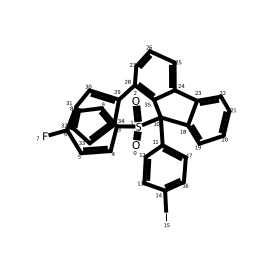 O=S(=O)(c1ccc(F)cc1)C1(c2ccc(I)cc2)c2ccccc2-c2cccc(-c3ccccc3)c21